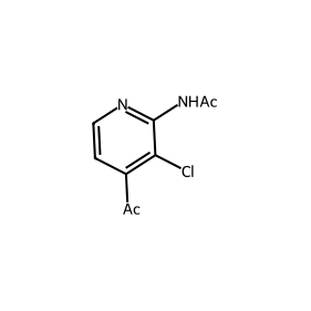 [CH2]C(=O)c1ccnc(NC(C)=O)c1Cl